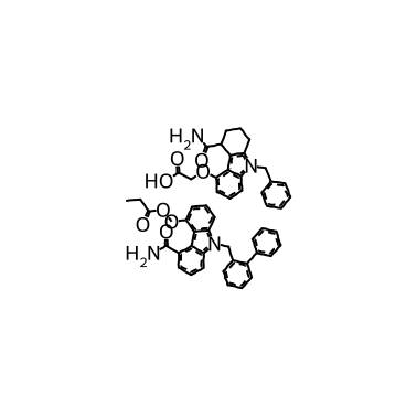 CCC(=O)OOc1cccc2c1c1c(C(N)=O)cccc1n2Cc1ccccc1-c1ccccc1.NC(=O)C1CCCc2c1c1c(OCC(=O)O)cccc1n2Cc1ccccc1